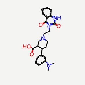 CN(C)c1cccc(C2CCN(CCn3c(=O)[nH]c4ccccc4c3=O)CC2C(=O)O)c1